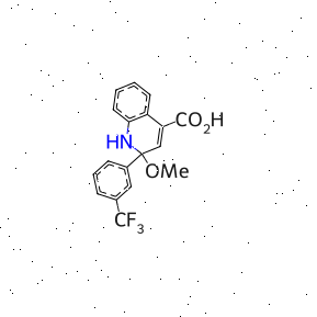 COC1(c2cccc(C(F)(F)F)c2)C=C(C(=O)O)c2ccccc2N1